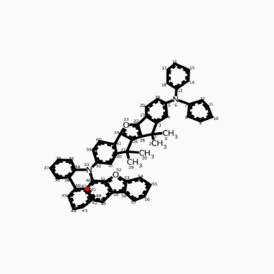 CC1(C)c2cc(N(c3ccccc3)c3ccccc3)ccc2-c2oc3c(c21)C(C)(C)c1cc(N(c2ccccc2-c2ccccc2)c2cccc4c2oc2ccccc24)ccc1-3